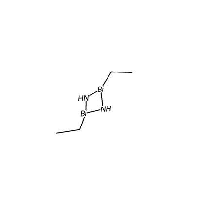 C[CH2][Bi]1[NH][Bi]([CH2]C)[NH]1